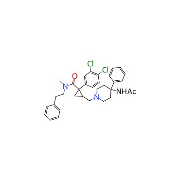 CC(=O)NC1(c2ccccc2)CCN(CC2CC2(C(=O)N(C)CCc2ccccc2)c2ccc(Cl)c(Cl)c2)CC1